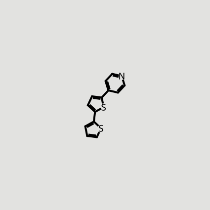 c1csc(-c2ccc(-c3ccncc3)s2)c1